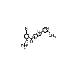 CCc1cc(-n2cc3c(n2)CN(C(=O)c2cc(C#N)ccc2OCC(F)(F)F)C3)ccn1